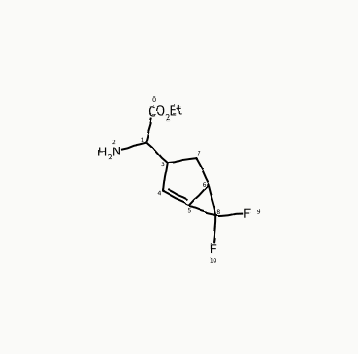 CCOC(=O)C(N)C1C=C2C(C1)C2(F)F